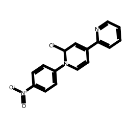 O=[N+]([O-])c1ccc(N2C=CC(c3ccccn3)=CC2Cl)cc1